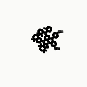 Cc1ccccc1N(c1cc2c3c(c1)N(c1ccc4c(c1)C(C)(C)CCC4(C)C)c1c(oc4c1C(C)(C)CCC4(C)C)B3c1cc(C(C)(C)C)ccc1N2c1ccc(C(C)(C)C)cc1)c1ccccc1C